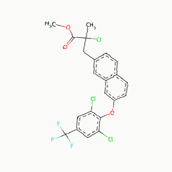 COC(=O)C(C)(Cl)Cc1ccc2ccc(Oc3c(Cl)cc(C(F)(F)F)cc3Cl)cc2c1